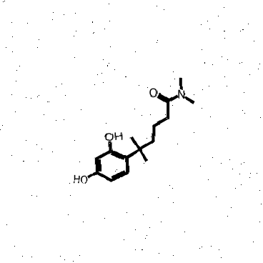 CN(C)C(=O)CCCC(C)(C)c1ccc(O)cc1O